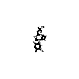 Cc1cc2nc(NC(=O)CC(C)(C)O)n(C3CCC3)c2cc1C#N